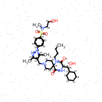 CCCCN1C(=O)[C@@H]([C@H](O)C2CCCCC2)NC(=O)C12CCN(Cc1c(C)nn(-c3ccc(S(=O)(=O)N(C)CCO)cc3)c1C)CC2